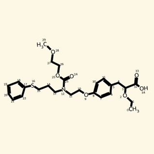 CCOC(Cc1ccc(OCCN(CCCSc2ccccc2)C(=O)OCCOC)cc1)C(=O)O